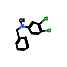 N#CN(Cc1ccccc1)c1ccc(Cl)c(Cl)c1